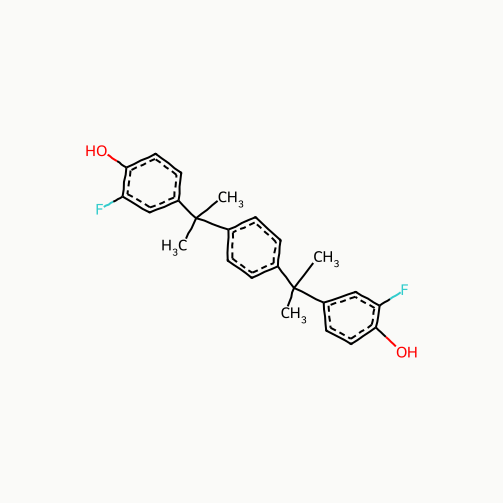 CC(C)(c1ccc(C(C)(C)c2ccc(O)c(F)c2)cc1)c1ccc(O)c(F)c1